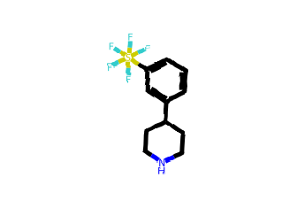 FS(F)(F)(F)(F)c1cccc(C2CCNCC2)c1